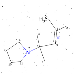 C/C([SiH3])=C/C(C)(C)N1CCCC1